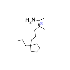 CCCC1(CCC/C(C)=C(/C)N)CCCC1